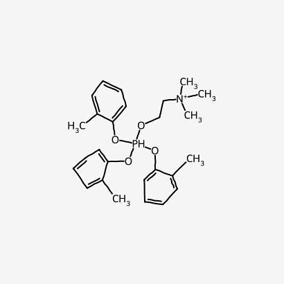 Cc1ccccc1O[PH](OCC[N+](C)(C)C)(Oc1ccccc1C)Oc1ccccc1C